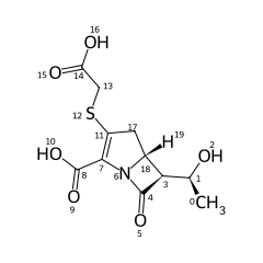 C[C@H](O)[C@H]1C(=O)N2C(C(=O)O)=C(SCC(=O)O)C[C@H]12